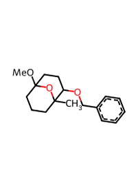 COC12CCCC(C)(O1)C(OCc1ccccc1)CC2